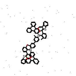 Cc1cc(-c2ccc(N(c3ccc4c5ccccc5c5ccccc5c4c3)c3c(C)cccc3-c3cccc4c3sc3ccccc34)c(C)c2)ccc1N(c1ccc2c3ccccc3c3ccccc3c2c1)c1c(C)cccc1-c1cccc2c1sc1ccccc12